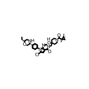 CC[C@H]1CN[C@H](c2ccc(-n3c(Cl)cc4c(=O)n(CC5(O)CCN(C(=O)[C@@]6(C)C[C@@H]6C)CC5)cnc43)cc2)CO1